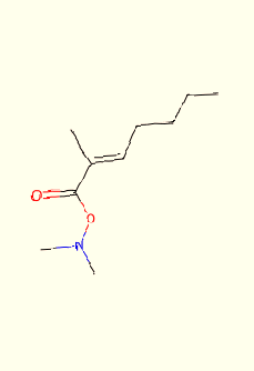 CCCC/C=C(\C)C(=O)ON(C)C